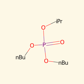 CCCCOP(=O)(OCCCC)OC(C)C